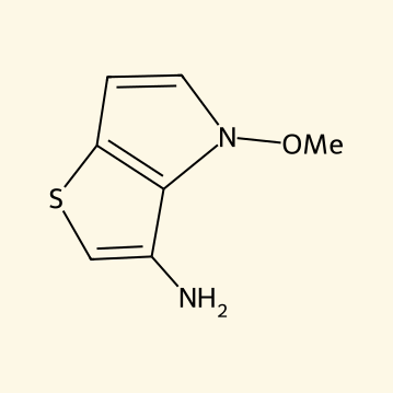 COn1ccc2scc(N)c21